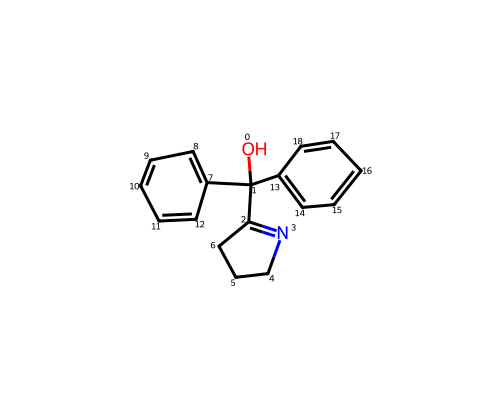 OC(C1=NCCC1)(c1ccccc1)c1ccccc1